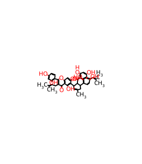 CC(C)=CCc1cc(C(=O)C2C(c3c(O)cc4oc(-c5ccc(O)cc5O)c(CC=C(C)C)c(=O)c4c3O)C=C(C)CC2c2ccc(O)cc2O)c(O)cc1O